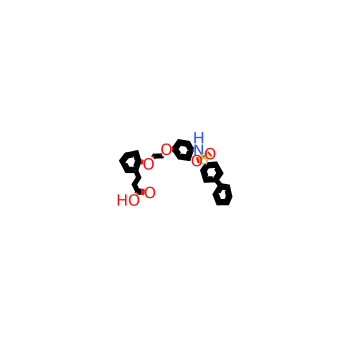 O=C(O)CCc1ccccc1OCCOc1ccc(NS(=O)(=O)c2ccc(-c3ccccc3)cc2)cc1